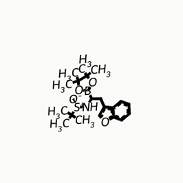 CC(C)(C)[S@@+]([O-])NC(Cc1coc2ccccc12)B1OC(C)(C)C(C)(C)O1